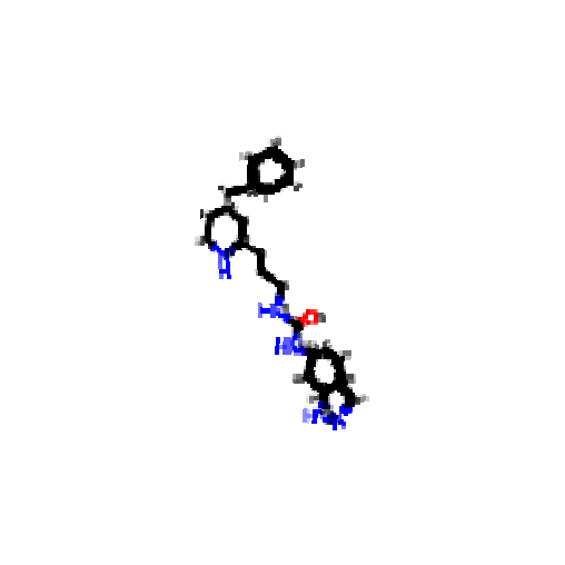 O=C(NCCC[C@@H]1C[C@@H](Cc2ccccc2)CCN1)Nc1ccc2cn[nH]c2c1